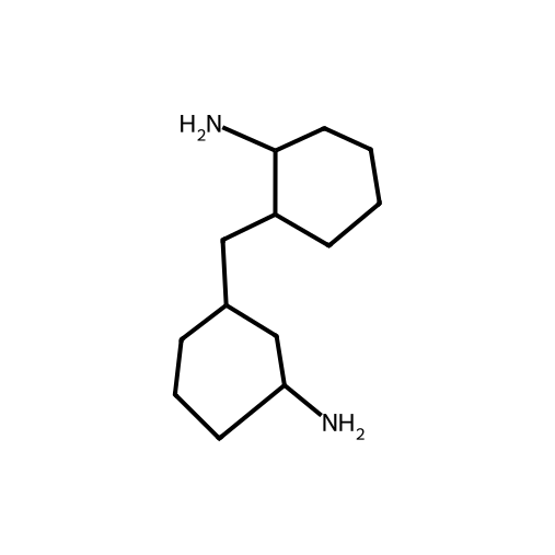 NC1CCCC(CC2CCCCC2N)C1